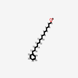 COCCCCCCCCCCCCCCCCc1ccccc1